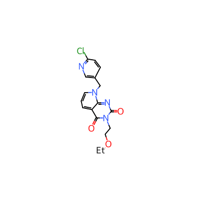 CCOCCn1c(=O)nc2n(Cc3ccc(Cl)nc3)cccc-2c1=O